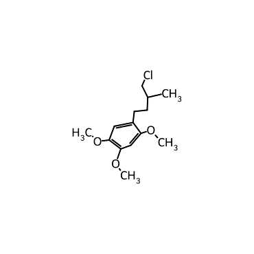 COc1cc(OC)c(OC)cc1CCC(C)CCl